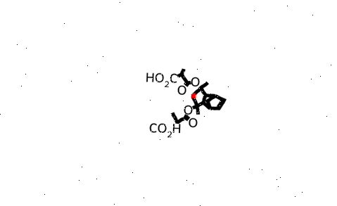 CC(C(=O)O)C(=O)OC(C)(C)C1C2C=CC(C2)C1C(C)(C)OC(=O)C(C)C(=O)O